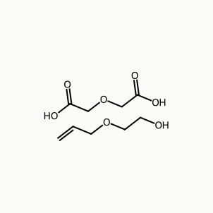 C=CCOCCO.O=C(O)COCC(=O)O